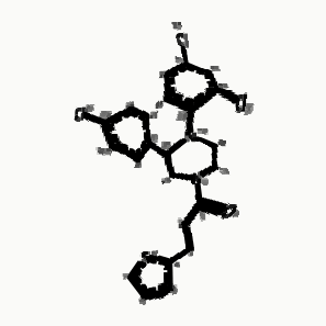 O=C(/C=C/c1cccs1)N1CCN(c2ccc(Cl)cc2Cl)C(c2ccc(Cl)cc2)C1